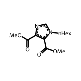 CCCCCCn1cnc(C(=O)OC)c1C(=O)OC